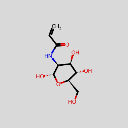 C=CC(=O)N[C@H]1[C@@H](O)[C@H](O)[C@@H](CO)O[C@@H]1O